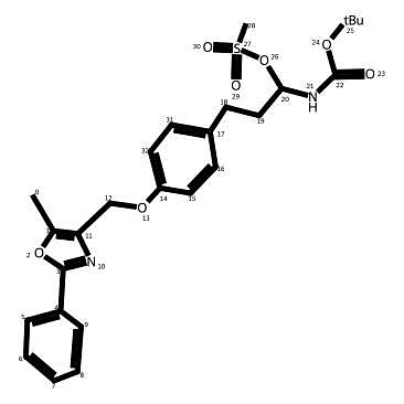 Cc1oc(-c2ccccc2)nc1COc1ccc(CCC(NC(=O)OC(C)(C)C)OS(C)(=O)=O)cc1